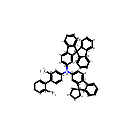 CC1=CCCC=C1c1ccc(N(c2ccc3c(c2)C2(CCCC2)c2ccccc2-3)c2ccc3c(c2)C2(c4ccccc4-c4ccccc42)c2ccccc2-3)cc1C